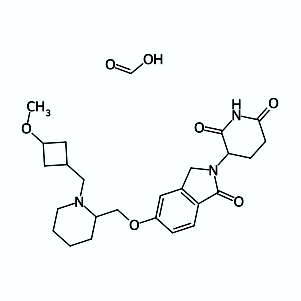 COC1CC(CN2CCCCC2COc2ccc3c(c2)CN(C2CCC(=O)NC2=O)C3=O)C1.O=CO